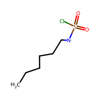 [CH2]CCCCC[N]S(=O)(=O)Cl